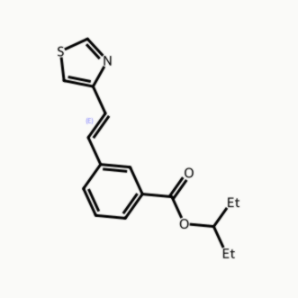 CCC(CC)OC(=O)c1cccc(/C=C/c2cscn2)c1